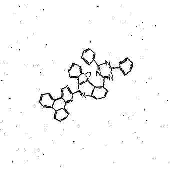 c1ccc(-c2nc(-c3ccccc3)nc(-c3cccc4nc(-c5ccc6c7ccccc7c7ccccc7c6c5)c5c6ccccc6oc5c34)n2)cc1